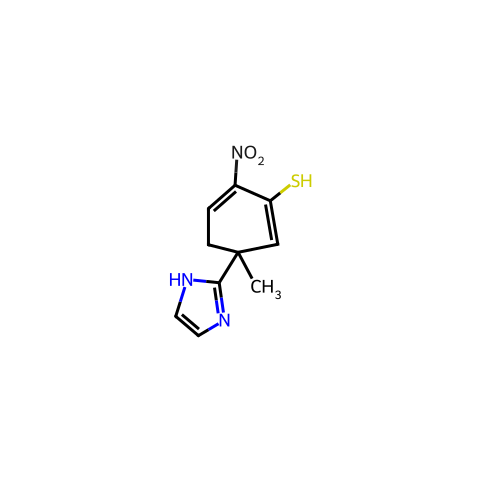 CC1(c2ncc[nH]2)C=C(S)C([N+](=O)[O-])=CC1